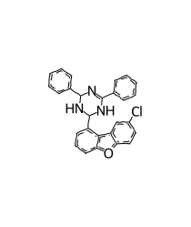 Clc1ccc2oc3cccc(C4NC(c5ccccc5)=NC(c5ccccc5)N4)c3c2c1